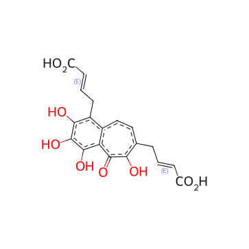 O=C(O)/C=C/Cc1ccc2c(C/C=C/C(=O)O)c(O)c(O)c(O)c2c(=O)c1O